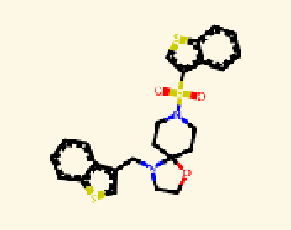 O=S(=O)(c1csc2ccccc12)N1CCC2(CC1)OCCN2Cc1csc2ccccc12